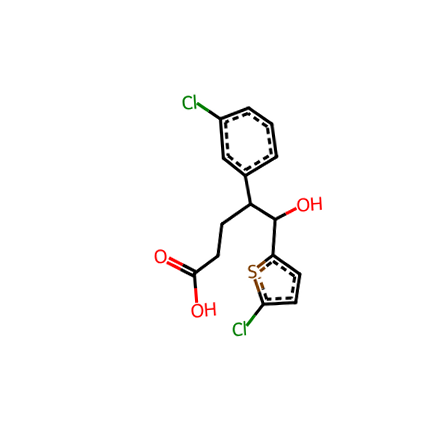 O=C(O)CCC(c1cccc(Cl)c1)C(O)c1ccc(Cl)s1